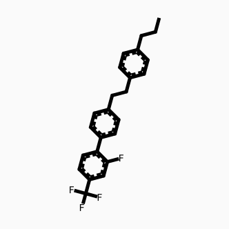 CCCc1ccc(CCc2ccc(-c3ccc(C(F)(F)F)cc3F)cc2)cc1